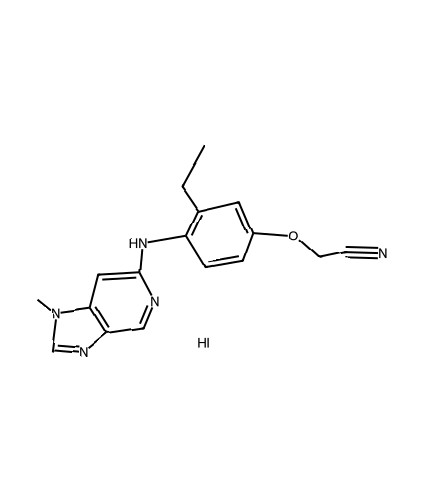 CCc1cc(OCC#N)ccc1Nc1cc2c(cn1)ncn2C.I